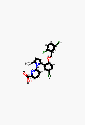 Cc1ccc(-c2cc(Cl)ccc2OCc2cc(F)ccc2F)n1-c1cccc(C(=O)O)n1